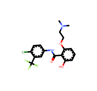 CN(C)CCOc1cccc(O)c1C(=O)Nc1ccc(Cl)c(C(F)(F)F)c1